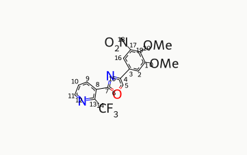 COc1cc(-c2coc(-c3cccnc3C(F)(F)F)n2)cc([N+](=O)[O-])c1OC